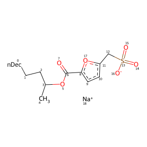 CCCCCCCCCCCCC(C)OC(=O)c1ccc(CS(=O)(=O)[O-])o1.[Na+]